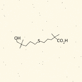 CC(C)(CO)CCCSCCCC(C)(C)C(=O)O